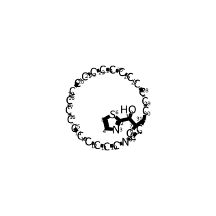 OC(c1nccs1)C1CN2CCCCCCCCCCCCCCCCCCCCCC1CC2